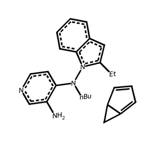 C1=CC2CC2=C1.CCCCN(c1ccncc1N)n1c(CC)cc2ccccc21